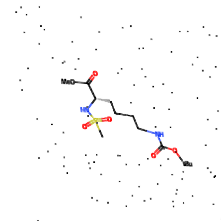 COC(=O)[C@H](CCCCNC(=O)OC(C)(C)C)NS(C)(=O)=O